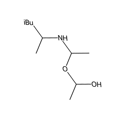 CCC(C)C(C)NC(C)OC(C)O